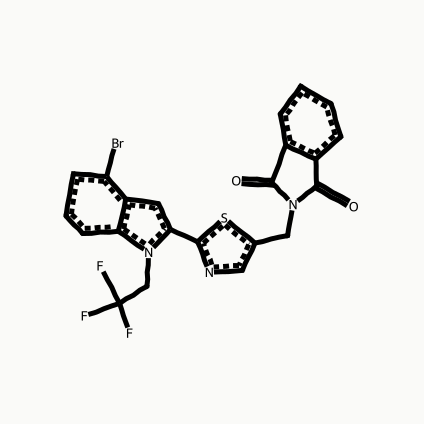 O=C1c2ccccc2C(=O)N1Cc1cnc(-c2cc3c(Br)cccc3n2CC(F)(F)F)s1